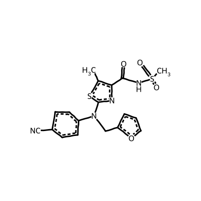 Cc1sc(N(Cc2ccco2)c2ccc(C#N)cc2)nc1C(=O)NS(C)(=O)=O